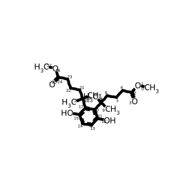 COC(=O)CCCC(C)(C)c1c(O)ccc(O)c1C(C)(C)CCCC(=O)OC